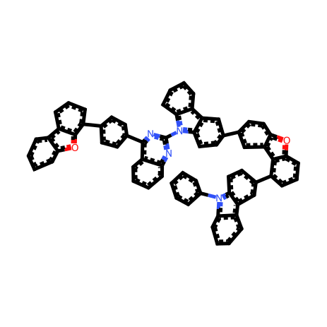 c1ccc(-n2c3ccccc3c3cc(-c4cccc5oc6ccc(-c7ccc8c(c7)c7ccccc7n8-c7nc(-c8ccc(-c9cccc%10c9oc9ccccc9%10)cc8)c8ccccc8n7)cc6c45)ccc32)cc1